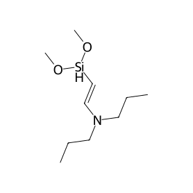 CCCN(C=C[SiH](OC)OC)CCC